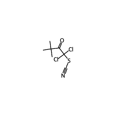 CC(C)(C)C(=O)C(Cl)(Cl)SC#N